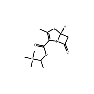 CC1=C(C(=O)OC(C)[Si](C)(C)C)N2C(=O)C[C@H]2S1